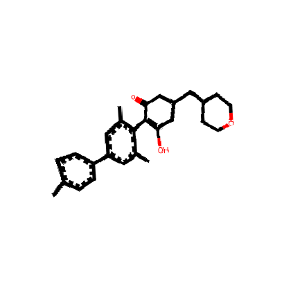 Cc1ccc(-c2cc(C)c(C3=C(O)CC(CC4CCOCC4)CC3=O)c(C)c2)cc1